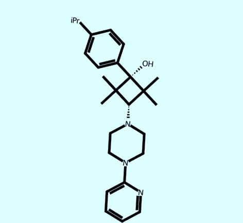 CC(C)c1ccc([C@]2(O)C(C)(C)[C@@H](N3CCN(c4ccccn4)CC3)C2(C)C)cc1